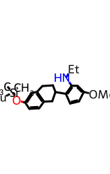 CCNc1cc(OC)ccc1C1CCc2cc(O[Si](C)(C)C(C)(C)C)ccc2C1